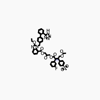 CCOc1nc2cccc(C(=O)OCC(=O)COC(=O)/C(=C(\COC(C)=O)c3ccc(S(C)(=O)=O)cc3)c3cccc(F)c3)c2n1Cc1ccc(-c2ccccc2-c2nnn[nH]2)cc1